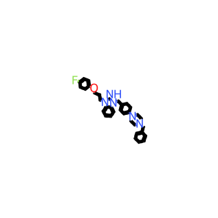 N=c1n(CCCOC2=CC=C(F)CC2)c2ccccc2n1CC1=CC=C(N2CCN(CC3=CCCC=C3)CC2)CC1